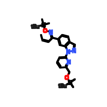 C/C=C\C(=N/O[Si](C)(C)C(C)(C)C)c1ccc2cnn(-c3cccc(CO[Si](C)(C)C(C)(C)C)n3)c2c1